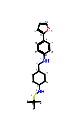 CC(C)(C)SNC1CCC(CNc2ccc(-c3ccco3)cc2)CC1